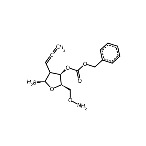 B[C@@H]1O[C@H](CON)[C@H](OC(=O)OCc2ccccc2)C1C=C=C